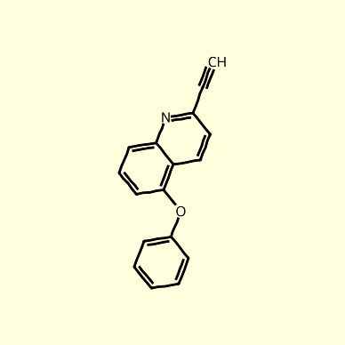 C#Cc1ccc2c(Oc3ccccc3)cccc2n1